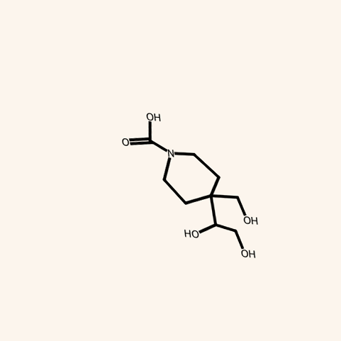 O=C(O)N1CCC(CO)(C(O)CO)CC1